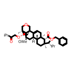 CO[C@@H]1C[C@@]23COC[C@@](C)([C@@H]2CC[C@H]2C3=CC[C@@]3(C)[C@H](C(=O)OCc4ccccc4)[C@@](C)([C@H](C)C(C)C)CC[C@]23C)[C@H]1OCC(=O)C(C)C